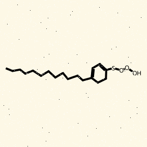 CCCCCCCCCCCCC1=CC=C(SOOO)CC1